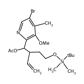 C=CC(CCO[Si](C)(C)C(C)(C)C)C(OC(C)=O)c1ncc(Br)c(C)c1OC